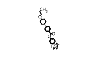 CCCO[C@H]1CC[C@H](c2ccc(C(=O)Oc3ccc(S(F)(F)(F)(F)F)cc3)cc2)CC1